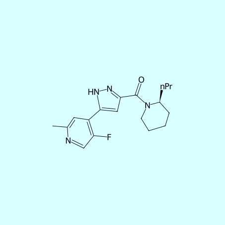 CCC[C@H]1CCCCN1C(=O)c1cc(-c2cc(C)ncc2F)[nH]n1